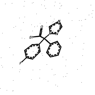 CCC(=O)C(c1ccccc1)(c1ccc(F)cc1)n1cncn1